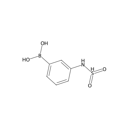 O=[SH](=O)Nc1cccc(B(O)O)c1